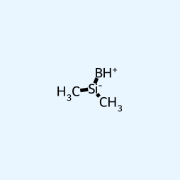 [BH+][Si-](C)C